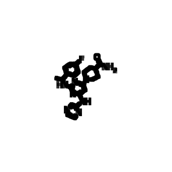 CC(Nc1nc(Nc2cnccn2)cc(N2CCC(C(N)=O)CC2)n1)c1ccc(F)cc1